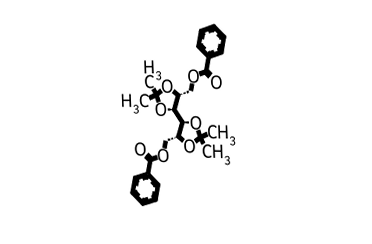 CC1(C)O[C@@H]([C@@H]2OC(C)(C)O[C@@H]2COC(=O)c2ccccc2)[C@@H](COC(=O)c2ccccc2)O1